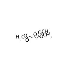 COC(=O)CC[C@H]1CC2OC(C)(C)OC2O1